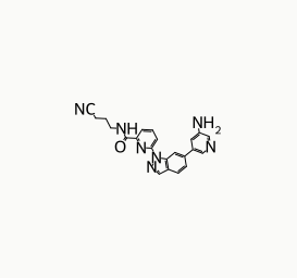 N#CCCCNC(=O)c1cccc(-n2ncc3ccc(-c4cncc(N)c4)cc32)n1